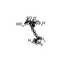 Cc1nn(-c2ccc(C(N)=O)c(NCCCOCCOCCOCCOCCOCCCNCc3ccc(C4=C(/C=C/C5=[N+](CCCCS(=O)(=O)[O-])c6ccc(S(=O)(=O)O)cc6C5(C)C)CCC/C4=C\C=C4\N(CCCCS(=O)(=O)O)c5ccc(S(=O)(=O)O)cc5C4(C)C)cc3)c2)c2c1C(=O)CC(C)(C)C2